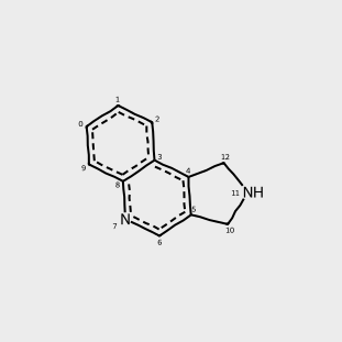 c1ccc2c3c(cnc2c1)CNC3